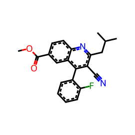 COC(=O)c1ccc2nc(CC(C)C)c(C#N)c(-c3ccccc3F)c2c1